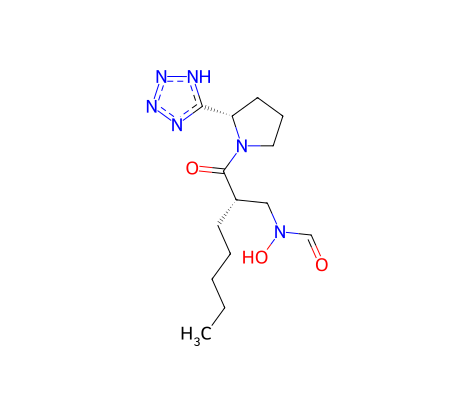 CCCCC[C@@H](CN(O)C=O)C(=O)N1CCC[C@H]1c1nnn[nH]1